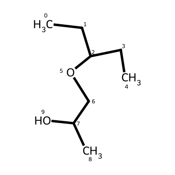 CCC(CC)OCC(C)O